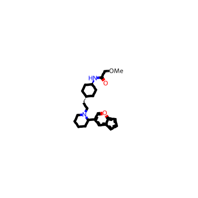 COCC(=O)N[C@H]1CC[C@H](CCN2CCCCC2c2coc3cccc-3c2)CC1